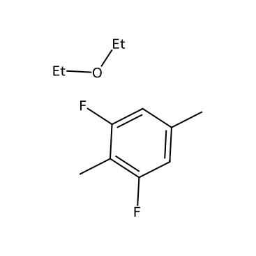 CCOCC.Cc1cc(F)c(C)c(F)c1